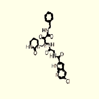 O=C(CNC(=O)c1cc2cc(Cl)cnc2[nH]1)N[C@@H](C[C@@H]1CCCNC1=O)C(=O)C(=O)NCc1ccccc1